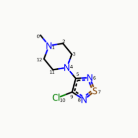 CN1CCN(c2nsnc2Cl)CC1